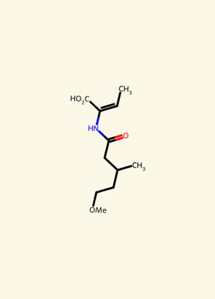 CC=C(NC(=O)CC(C)CCOC)C(=O)O